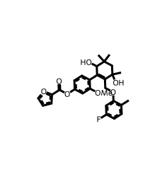 COc1cc(OC(=O)c2ccco2)ccc1C1=C(COc2cc(F)ccc2C)C(C)(O)CC(C)(C)C1O